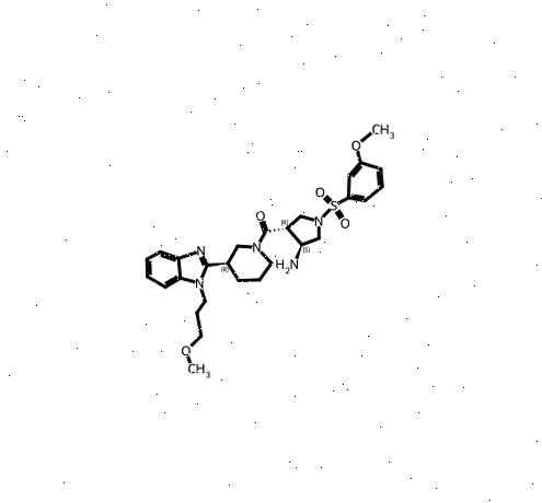 COCCCn1c([C@@H]2CCCN(C(=O)[C@@H]3CN(S(=O)(=O)c4cccc(OC)c4)C[C@H]3N)C2)nc2ccccc21